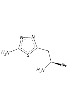 CC(C)[C@@H](N)Cc1nnc(N)s1